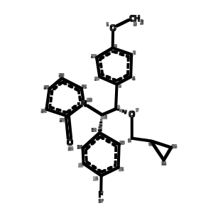 COc1ccc([C@H](OCC2CC2)[C@H](c2ccc(F)cc2)n2ccccc2=O)cc1